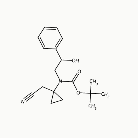 CC(C)(C)OC(=O)N(CC(O)c1ccccc1)C1(CC#N)CC1